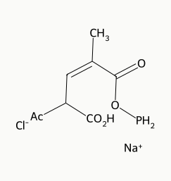 CC(=O)C(C=C(C)C(=O)OP)C(=O)O.[Cl-].[Na+]